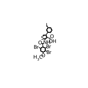 COc1cc(Br)c(C(=O)Nc2scc(-c3cccc(I)c3)c2C(=O)O)c(Br)c1Br